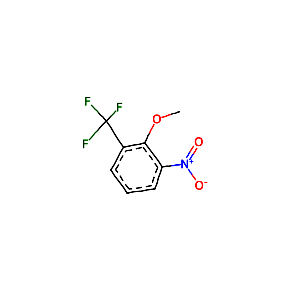 COc1c([N+](=O)[O-])cccc1C(F)(F)F